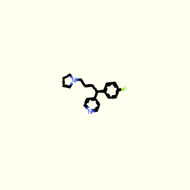 Fc1ccc(C([CH]CCN2CCCC2)c2ccncc2)cc1